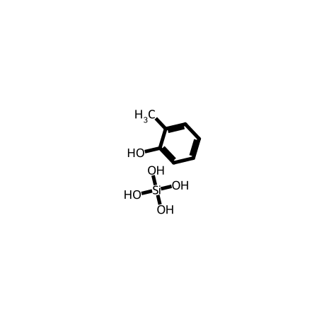 Cc1ccccc1O.O[Si](O)(O)O